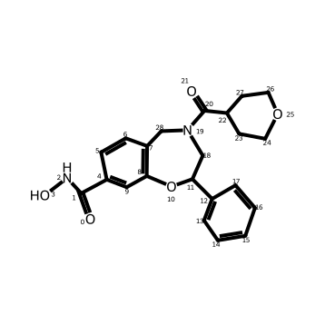 O=C(NO)c1ccc2c(c1)OC(c1ccccc1)CN(C(=O)C1CCOCC1)C2